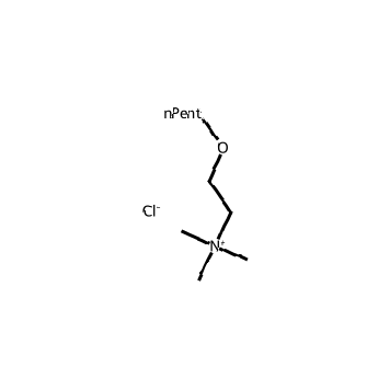 CCCCCOCC[N+](C)(C)C.[Cl-]